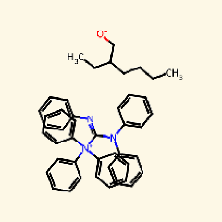 CCCCC(CC)C[O-].c1ccc(N=C(N(c2ccccc2)c2ccccc2)[N+](c2ccccc2)(c2ccccc2)c2ccccc2)cc1